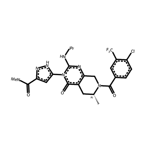 CNC(=O)c1cc(-n2c(NC(C)C)nc3c(c2=O)C[C@@H](C)N(C(=O)c2ccc(Cl)c(C(F)(F)F)c2)C3)[nH]n1